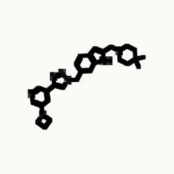 CC1(C)CCN(Cc2cc3ccc(Cn4cc(-c5cncc(N6CCC6)c5)nn4)cc3[nH]2)CC1